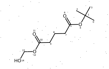 CC(C)(C)OC(=O)CCCC(=O)OCO